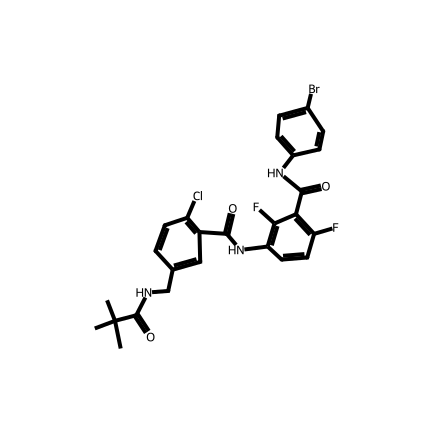 CC(C)(C)C(=O)NCc1ccc(Cl)c(C(=O)Nc2ccc(F)c(C(=O)Nc3ccc(Br)cc3)c2F)c1